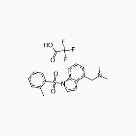 Cc1ccccc1S(=O)(=O)n1ccc2c(CN(C)C)cccc21.O=C(O)C(F)(F)F